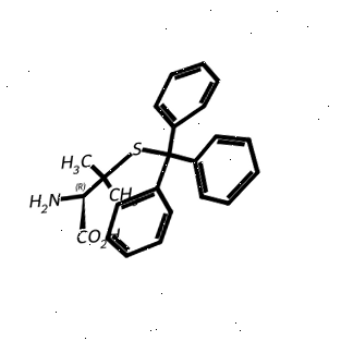 CC(C)(SC(c1ccccc1)(c1ccccc1)c1ccccc1)[C@H](N)C(=O)O